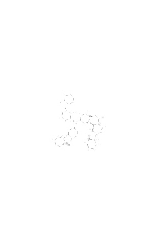 c1ccc(-c2cccc(N(c3ccc4oc5ccccc5c4c3)c3ccc4ccc5ccc6c7cccnc7oc6c5c4c3)c2)cc1